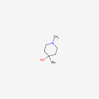 CN1CCC(O)(C(C)(C)C)CC1